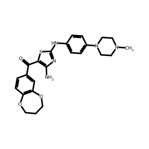 CN1CCN(c2ccc(Nc3nc(N)c(C(=O)c4ccc5c(c4)OCCCO5)s3)cc2)CC1